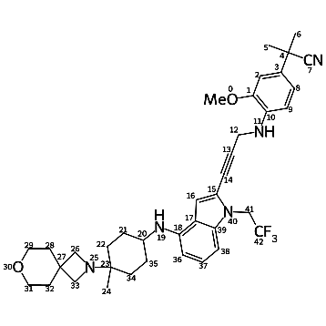 COc1cc(C(C)(C)C#N)ccc1NCC#Cc1cc2c(NC3CCC(C)(N4CC5(CCOCC5)C4)CC3)cccc2n1CC(F)(F)F